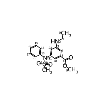 CCNc1cc(C(=O)OC)cc(N(c2ccccc2)S(C)(=O)=O)c1